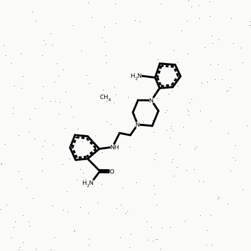 C.NC(=O)c1ccccc1NCCN1CCN(c2ccccc2N)CC1